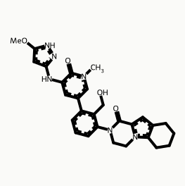 COc1cc(Nc2cc(-c3cccc(N4CCn5c(cc6c5CCCC6)C4=O)c3CO)cn(C)c2=O)n[nH]1